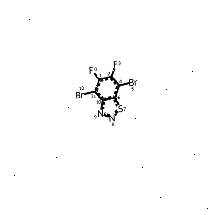 Fc1c(F)c(Br)c2snnc2c1Br